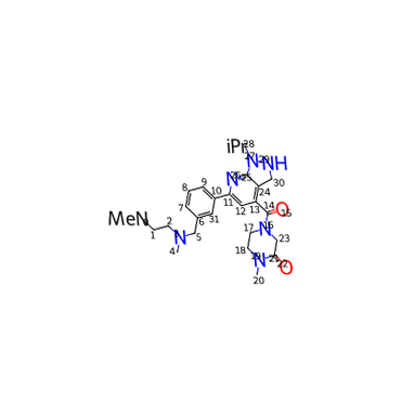 CNCCN(C)Cc1cccc(-c2cc(C(=O)N3CCN(C)C(=O)C3)c3c(n2)N(C(C)C)NC3)c1